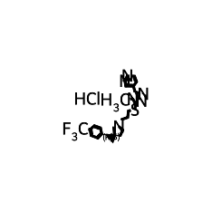 Cl.Cn1c(SCCCN2CC[C@]3(C[C@@H]3c3ccc(C(F)(F)F)cc3)C2)nnc1-c1ccnnc1